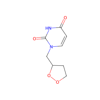 O=c1ccn(CC2CCOO2)c(=O)[nH]1